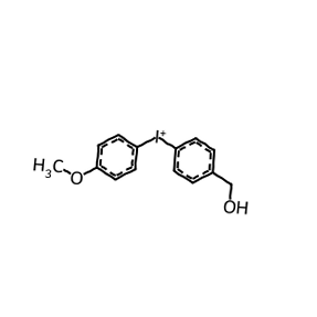 COc1ccc([I+]c2ccc(CO)cc2)cc1